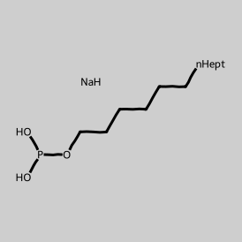 CCCCCCCCCCCCCOP(O)O.[NaH]